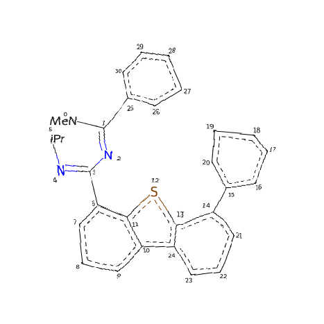 CN/C(=N\C(=N/C(C)C)c1cccc2c1sc1c(-c3ccccc3)cccc12)c1ccccc1